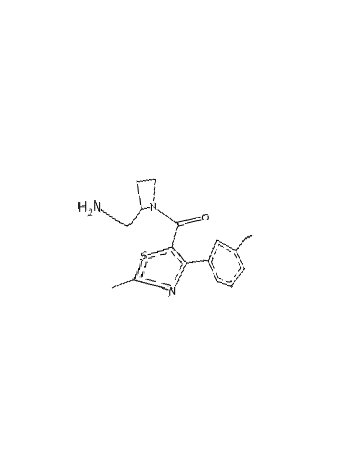 Cc1cccc(-c2nc(C)sc2C(=O)N2CCC2CN)c1